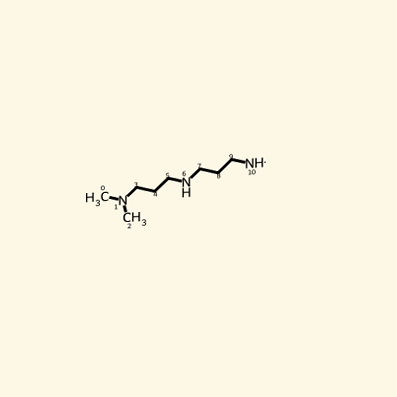 CN(C)CCCNCCC[NH]